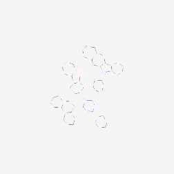 c1ccc(-c2nc(-c3ccc(-n4c5ccccc5c5cc6ccccc6cc54)cc3-c3cccc4c3oc3ccccc34)nc(-c3cc4ccccc4c4ccccc34)n2)cc1